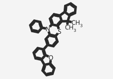 CC1(C)c2ccccc2-c2ccc3c(c21)Sc1ccc(-c2cccc4c2oc2ccccc24)cc1N3c1ccccc1